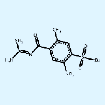 Cc1cc(S(=O)(=O)C(C)(C)C)c([N+](=O)[O-])cc1C(=O)N=C(N)N